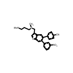 CNCCCN(C)Cc1coc2cc(-c3cccc([N+](=O)[O-])c3)c(-c3ccc(C#N)cc3)cc12